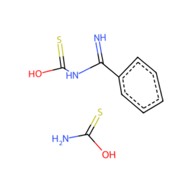 N=C(NC(O)=S)c1ccccc1.NC(O)=S